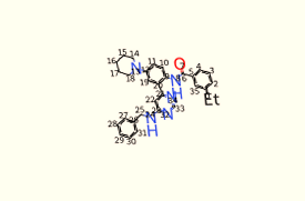 CCc1cccc(C(=O)Nc2ccc(N3CCCCC3)cc2-c2cc(NCc3ccccc3)ncn2)c1